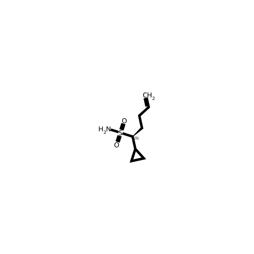 C=CCC[C@@H](C1CC1)S(N)(=O)=O